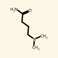 CN(C)C[CH]CC(N)=O